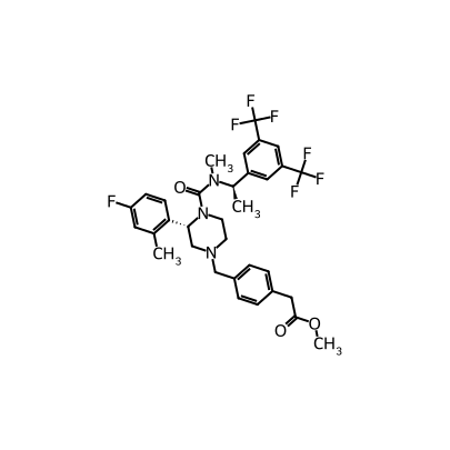 COC(=O)Cc1ccc(CN2CCN(C(=O)N(C)[C@H](C)c3cc(C(F)(F)F)cc(C(F)(F)F)c3)[C@@H](c3ccc(F)cc3C)C2)cc1